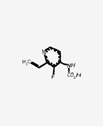 C=Cc1nccc(NC(=O)O)c1F